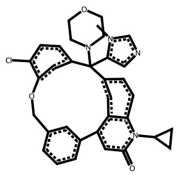 Cn1cncc1C1(N2CCOCC2)c2ccc(Cl)c(c2)OCc2cccc(c2)-c2cc(=O)n(C3CC3)c3ccc1cc23